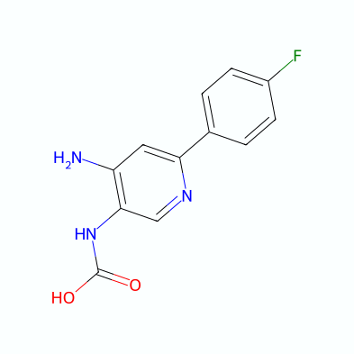 Nc1cc(-c2ccc(F)cc2)ncc1NC(=O)O